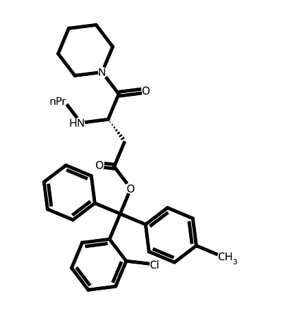 CCCN[C@@H](CC(=O)OC(c1ccccc1)(c1ccc(C)cc1)c1ccccc1Cl)C(=O)N1CCCCC1